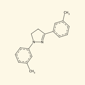 Cc1cccc(C2=NN(c3cccc(C)c3)CC2)c1